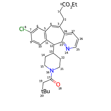 CCOC(=O)CCC1=Cc2cc(Cl)ccc2C(C2CCN(C(=O)CC(C)(C)C)CC2)c2ncccc21